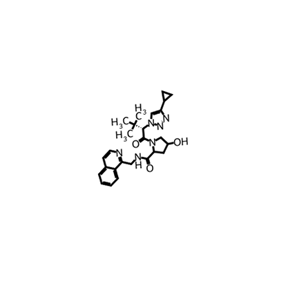 CC(C)(C)[C@@H](C(=O)N1CC(O)CC1C(=O)NCc1nccc2ccccc12)n1cc(C2CC2)nn1